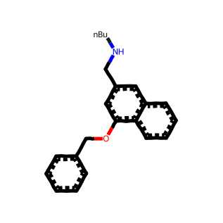 CCCCNCc1cc(OCc2ccccc2)c2ccccc2c1